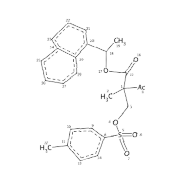 CC(=O)C(C)(COS(=O)(=O)c1ccc(C)cc1)C(=O)OC(C)c1cccc2ccccc12